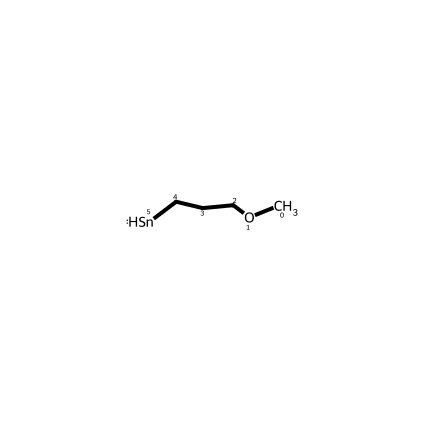 COCC[CH2][SnH]